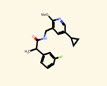 COc1ncc(C2CC2)cc1CNC(=O)C(C)c1cccc(F)c1